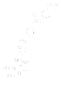 CCCN1c2nc(-c3ccc(NCc4ccc(CNC(=O)c5cccc(C(=O)O)c5)cc4)nc3)[nH]c2C(=O)N(C2CC2)C1O